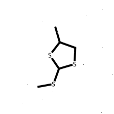 CSC1SCC(C)S1